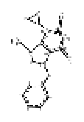 CN1CN(Cc2ccccc2)c2c1n(C1CC1)c(=O)[nH]c2=O